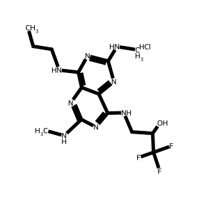 CCCNc1nc(NC)nc2c(NCC(O)C(F)(F)F)nc(NC)nc12.Cl